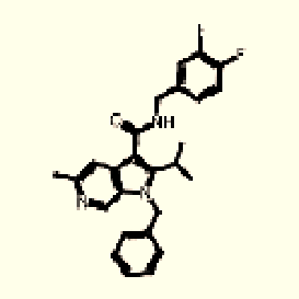 Cc1cc2c(C(=O)NCc3ccc(F)c(F)c3)c(C(C)C)n(Cc3ccccc3)c2cn1